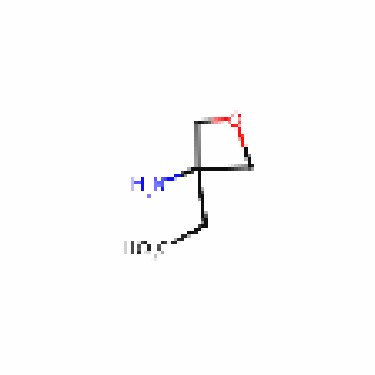 NC1(CC(=O)O)COC1